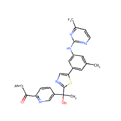 COC(=O)c1ccc(C(C)(O)c2ncc(-c3cc(C)cc(Nc4nccc(C(F)(F)F)n4)c3)s2)cn1